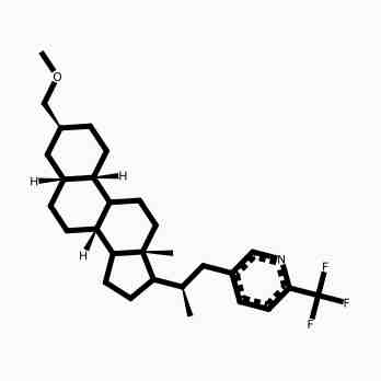 COC[C@H]1CC[C@@H]2C3CC[C@@]4(C)C(CCC4[C@H](C)Cc4ccc(C(F)(F)F)nc4)[C@@H]3CC[C@@H]2C1